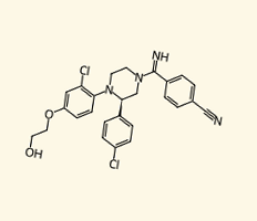 N#Cc1ccc(C(=N)N2CCN(c3ccc(OCCO)cc3Cl)[C@H](c3ccc(Cl)cc3)C2)cc1